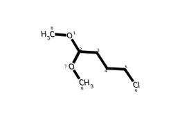 CO[C](CCCCl)OC